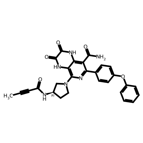 CC#CC(=O)N[C@@H]1CCN(c2nc(-c3ccc(Oc4ccccc4)cc3)c(C(N)=O)c3[nH]c(=O)c(=O)[nH]c23)C1